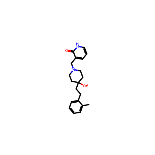 Cc1ccccc1CCC1(O)CCN(Cc2ccc[nH]c2=O)CC1